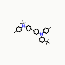 Cc1ccc(N(c2ccc(-c3ccc(N(c4ccc(C)cc4)C(C)(C)C)cc3)cc2)c2cccc(C(C)(C)C)c2)cc1